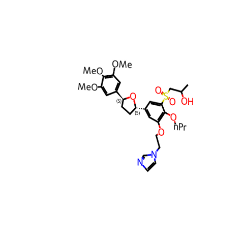 CCCOc1c(OCCn2ccnc2)cc([C@@H]2CC[C@@H](c3cc(OC)c(OC)c(OC)c3)O2)cc1S(=O)(=O)CC(C)O